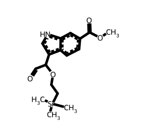 COC(=O)c1ccc2c(C(C=O)OCC[Si](C)(C)C)c[nH]c2c1